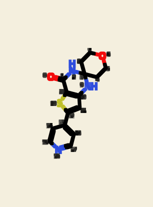 O=C1NC2(CCOCC2)Nc2cc(-c3ccncc3)sc21